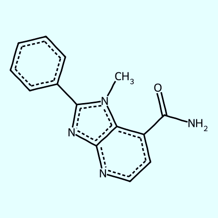 Cn1c(-c2ccccc2)nc2nccc(C(N)=O)c21